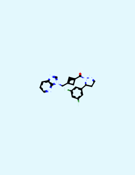 O=C(N1N=CCC1c1cc(F)cc(F)c1)C12CC(Cn3cnc4cccnc43)(C1)C2